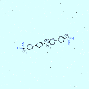 FC(F)(F)C1(c2ccc(-c3ccc(C(c4ccc(-c5ccc(C6(C(F)(F)F)NN6)cc5)cc4)(C(F)(F)F)C(F)(F)F)cc3)cc2)NN1